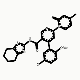 COc1ccc(Cl)cc1-c1cc(-n2ccc(C)cc2=O)ncc1C(=O)Nc1nc2c(s1)CCCC2